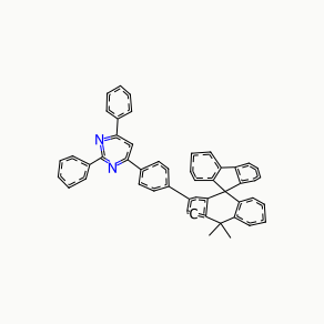 CC1(C)c2ccccc2C2(c3ccccc3-c3ccccc32)c2cc(-c3ccc(-c4cc(-c5ccccc5)nc(-c5ccccc5)n4)cc3)ccc21